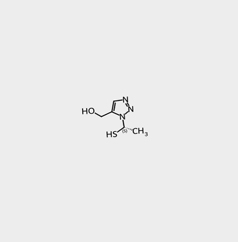 C[C@H](S)n1nncc1CO